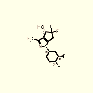 O[C@H]1c2c(C(F)(F)F)nn([C@@H]3CC[C@H](F)[C@H](F)C3)c2CC1(F)F